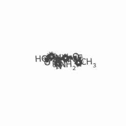 Cc1cccc(C(=O)NCc2ccc(-c3nn([C@@H]4CCCN(C(=O)O)C4)c4ncnc(N)c34)cc2)c1F